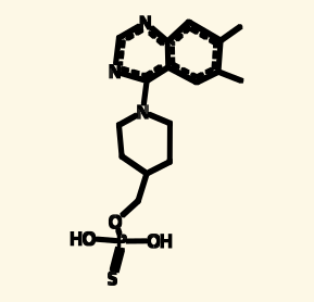 Cc1cc2ncnc(N3CCC(COP(O)(O)=S)CC3)c2cc1C